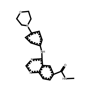 CNC(=O)c1ccc2ncnc(Nc3ccc(N4CCOCC4)cc3)c2c1